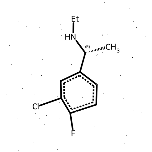 CCN[C@H](C)c1ccc(F)c(Cl)c1